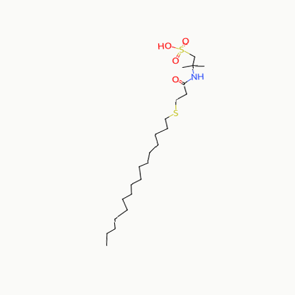 CCCCCCCCCCCCCCCCSCCC(=O)NC(C)(C)CS(=O)(=O)O